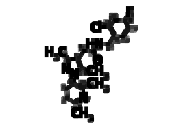 Cc1ccc(-n2nc(C)c(CC(=O)NCc3ccc(F)cc3Cl)c2C)c(C)n1